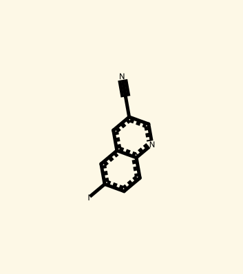 N#Cc1cnc2ccc(I)cc2c1